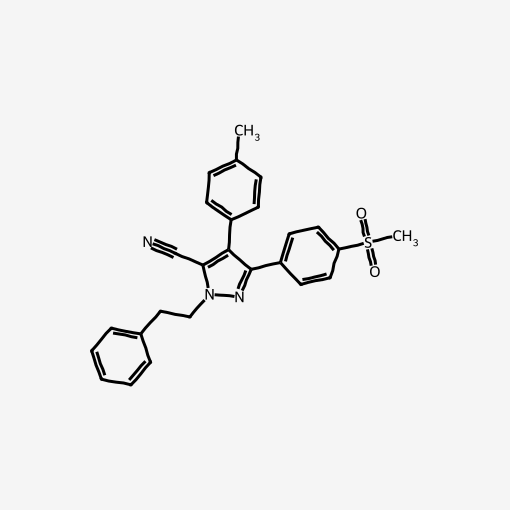 Cc1ccc(-c2c(-c3ccc(S(C)(=O)=O)cc3)nn(CCc3ccccc3)c2C#N)cc1